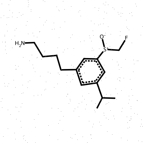 CC(C)c1cc(CCCCN)cc([S+]([O-])CF)c1